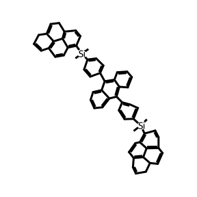 C[Si](C)(c1ccc(-c2c3ccccc3c(-c3ccc([Si](C)(C)c4ccc5c6c7c(ccc46)C=CCC7C=C5)cc3)c3ccccc23)cc1)c1ccc2c3c4c(ccc13)C=CCC4=CC2